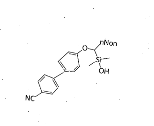 CCCCCCCCCC(Oc1ccc(-c2ccc(C#N)cc2)cc1)[Si](C)(C)O